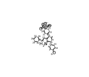 COc1ccc(-c2ccc(C3=CCC([N+](=O)[O-])([N+](=O)[O-])C=C3)c(C=Cc3ccccc3)c2N)cc1